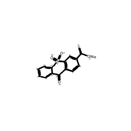 COC(=O)c1ccc2c(c1)S(=O)(=O)c1ccccc1C2=O